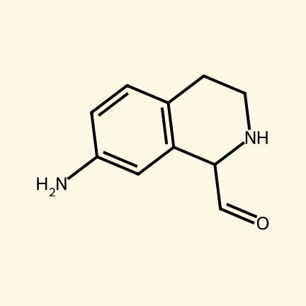 Nc1ccc2c(c1)C(C=O)NCC2